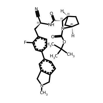 CN1Cc2ccc(-c3ccc(C[C@@H](C#N)NC(=O)[C@@H]4[C@H]5CC[C@H](C5)N4C(=O)OC(C)(C)C)c(F)c3)cc2C1